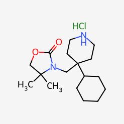 CC1(C)COC(=O)N1CC1(C2CCCCC2)CCNCC1.Cl